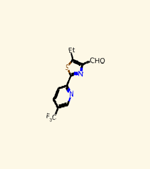 CCc1sc(-c2ccc(C(F)(F)F)cn2)nc1C=O